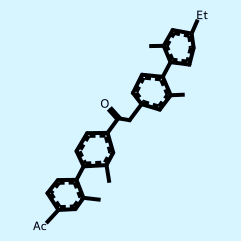 CCc1ccc(-c2ccc(CC(=O)c3ccc(-c4ccc(C(C)=O)cc4C)c(C)c3)cc2C)c(C)c1